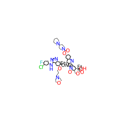 CCc1c2c(nc3ccc(OC(=O)N4CCC(N5CCCCC5)CC4)cc13)-c1cc3c(c(=O)n1C2)COC(=O)[C@]3(O)CC.COc1cc2ncnc(Nc3ccc(F)c(Cl)c3)c2cc1OCCCN1CCOCC1